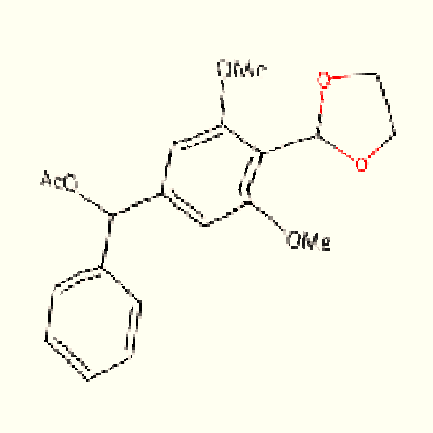 COc1cc(C(OC(C)=O)c2ccccc2)cc(OC)c1C1OCCO1